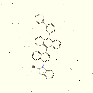 CCc1nc2ccccc2n1-c1ccc(-c2c3ccccc3c(-c3cccc(-c4ccccc4)c3)c3ccccc23)c2ccccc12